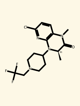 C[C@@H]1C(=O)N(C)c2ccc(Cl)nc2N1C1CCN(CC(F)(F)F)CC1